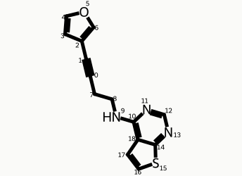 C(#Cc1ccoc1)CCNc1ncnc2sccc12